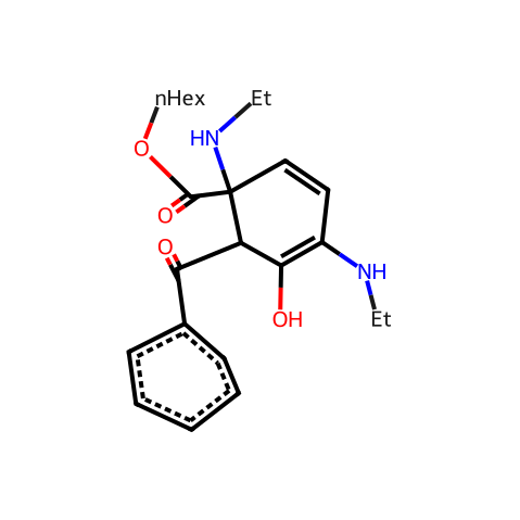 CCCCCCOC(=O)C1(NCC)C=CC(NCC)=C(O)C1C(=O)c1ccccc1